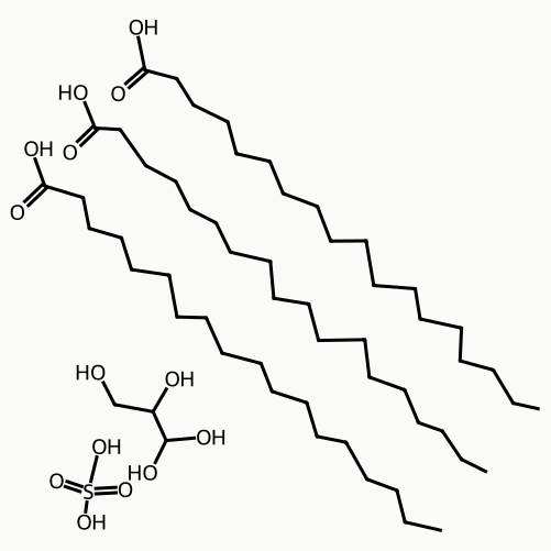 CCCCCCCCCCCCCCCCCC(=O)O.CCCCCCCCCCCCCCCCCC(=O)O.CCCCCCCCCCCCCCCCCC(=O)O.O=S(=O)(O)O.OCC(O)C(O)O